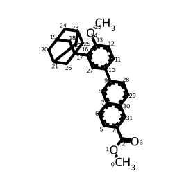 COC(=O)c1ccc2cc(-c3ccc(OC)c(C45CC6CC(CC(C6)C4)C5)c3)ccc2c1